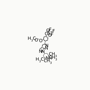 COCOc1cc(OS(=O)(=O)C(F)(F)F)ccc1-c1cc2cnn(C3CC(C)(C)NC(C)(C)C3)c2nn1